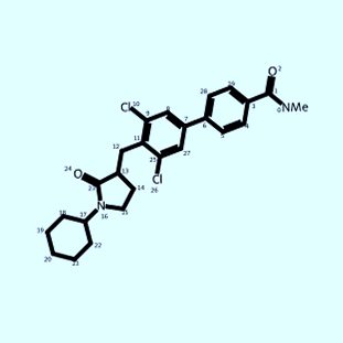 CNC(=O)c1ccc(-c2cc(Cl)c(CC3CCN(C4CCCCC4)C3=O)c(Cl)c2)cc1